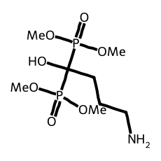 COP(=O)(OC)C(O)(CCCN)P(=O)(OC)OC